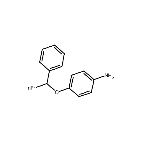 CCCC(Oc1ccc(N)cc1)c1ccccc1